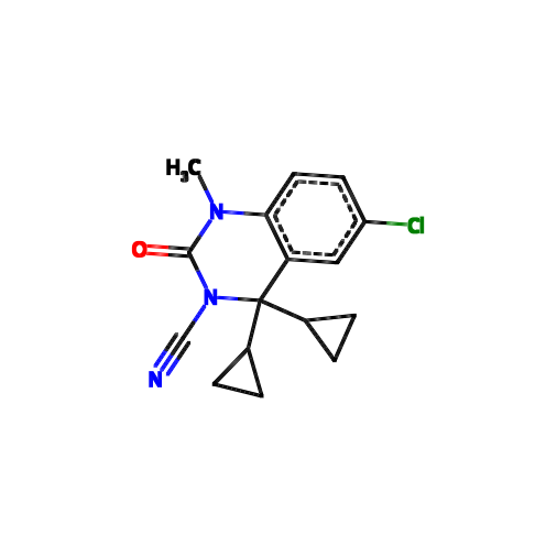 CN1C(=O)N(C#N)C(C2CC2)(C2CC2)c2cc(Cl)ccc21